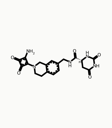 Nc1c(N2CCc3ccc(CNC(=O)[C@H]4CC(=O)NC(=O)N4)cc3C2)c(=O)c1=O